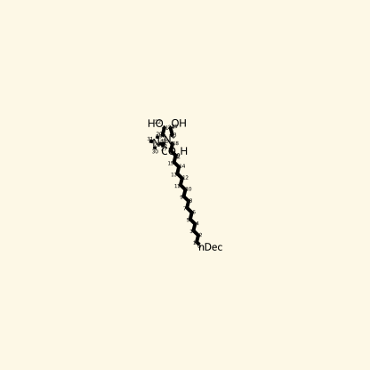 CCCCCCCCCCCCCCCCCCCCCCCCCCCC[N+](CCO)(CCO)C(C(=O)O)[N+](C)(C)C